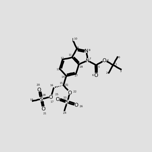 CC(C)(C)OC(=O)n1nc(I)c2ccc([C@@H](COS(C)(=O)=O)OS(C)(=O)=O)cc21